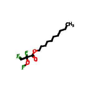 CCCCCCCCCCOC(=O)C(F)(CF)OF